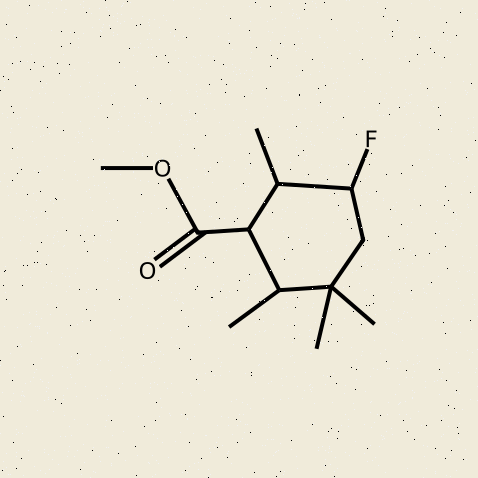 COC(=O)C1C(C)C(F)CC(C)(C)C1C